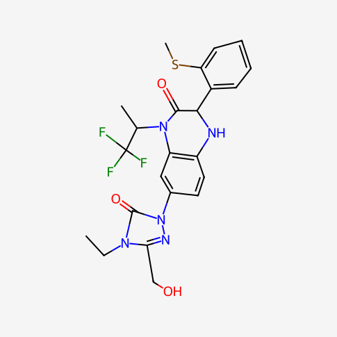 CCn1c(CO)nn(-c2ccc3c(c2)N(C(C)C(F)(F)F)C(=O)C(c2ccccc2SC)N3)c1=O